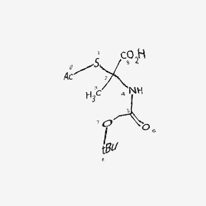 CC(=O)SC(C)(NC(=O)OC(C)(C)C)C(=O)O